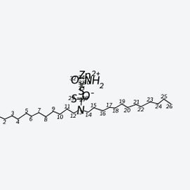 CCCCCCCCCCCCCN(CCCCCCCCCCCCC)C([O-])=S.NC([O-])=S.[Zn+2]